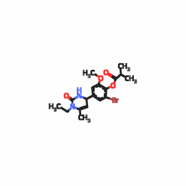 CCN1C(=O)NC(c2cc(Br)c(OC(=O)C(C)C)c(OC)c2)C=C1C